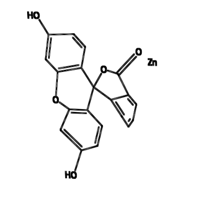 O=C1OC2(c3ccc(O)cc3Oc3cc(O)ccc32)c2ccccc21.[Zn]